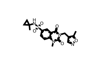 Cc1oncc1Cn1c(=O)c2cc(S(=O)(=O)NC3(C)CC3)ccc2n(C)c1=O